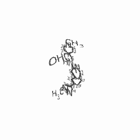 CN1CCC(C=O)(CNc2cc3cc(-c4cnn(C)c4)ccc3cn2)CC1